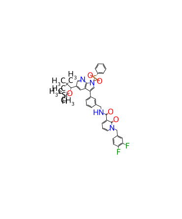 C[SiH](C)OC(c1cnc2c(c1)c(-c1cccc(CNC(=O)c3cccn(Cc4ccc(F)c(F)c4)c3=O)c1)cn2S(=O)(=O)c1ccccc1)C(C)(C)C